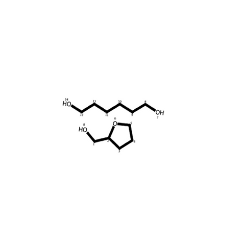 OCC1CCCO1.OCCCCCCO